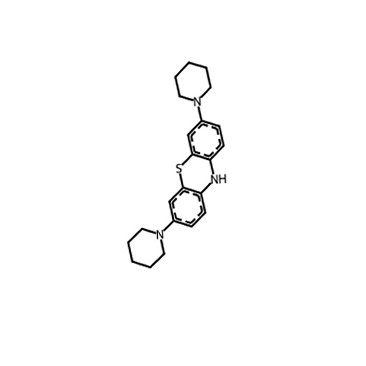 c1cc2c(cc1N1CCCCC1)Sc1cc(N3CCCCC3)ccc1N2